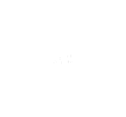 [AlH3].[Fe].[LiH].[Zr]